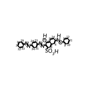 O=S(=O)(O)c1cc2cc(NOc3ccccc3)ccc2c(O)c1N=Nc1ccc(N=Nc2ccccc2)cc1